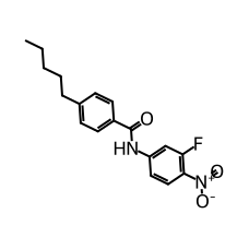 CCCCCc1ccc(C(=O)Nc2ccc([N+](=O)[O-])c(F)c2)cc1